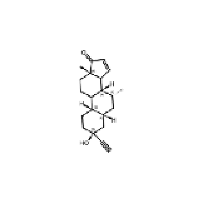 C#C[C@]1(O)CC[C@@H]2C3CC[C@]4(C)C(=O)C=CC4[C@@H]3[C@H](C)C[C@@H]2C1